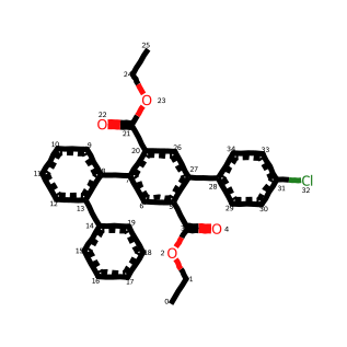 CCOC(=O)c1cc(-c2ccccc2-c2ccccc2)c(C(=O)OCC)cc1-c1ccc(Cl)cc1